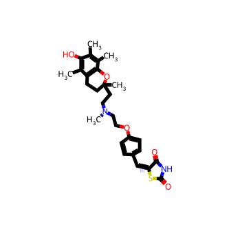 Cc1c(C)c2c(c(C)c1O)CCC(C)(CCN(C)CCOc1ccc(/C=C3/SC(=O)NC3=O)cc1)O2